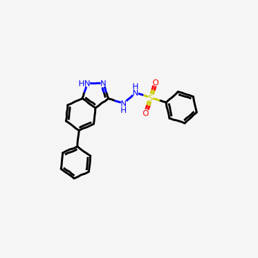 O=S(=O)(NNc1n[nH]c2ccc(-c3ccccc3)cc12)c1ccccc1